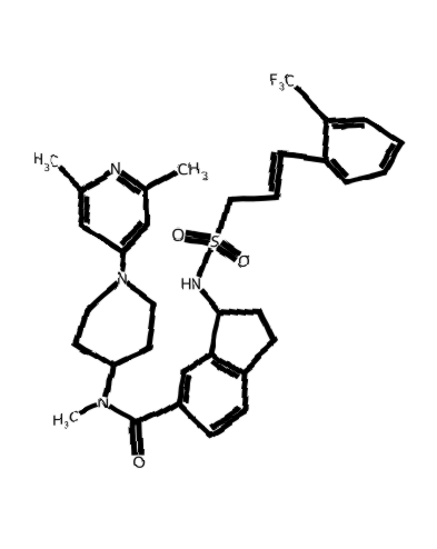 Cc1cc(N2CCC(N(C)C(=O)c3ccc4c(c3)C(NS(=O)(=O)CC=Cc3ccccc3C(F)(F)F)CC4)CC2)cc(C)n1